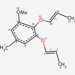 C/C=C/Oc1cc(C)cc(OC)c1O/C=C/C